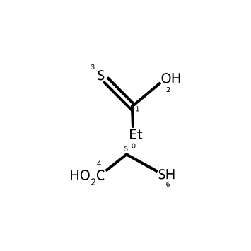 CCC(O)=S.O=C(O)CS